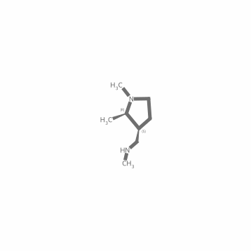 CNC[C@@H]1CCN(C)[C@@H]1C